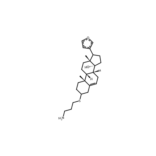 C[C@]12CCC(SCCCN)CC1=CC[C@@H]1[C@H]2CC[C@]2(C)C(c3ccoc3)CC[C@@]12O